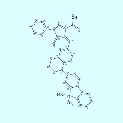 CC1(C)c2ccccc2-c2ccc(N3CCCc4cc(/C=C5\C(=O)N(c6ccccc6)N=C5C(=O)O)ccc43)cc21